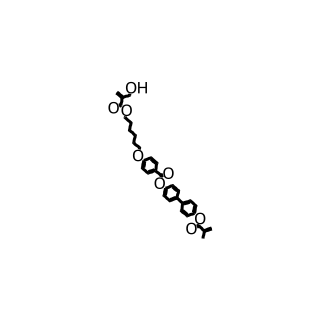 C=C(C)C(=O)Oc1ccc(-c2ccc(OC(=O)c3ccc(OCCCCCCOC(=O)C(=C)CO)cc3)cc2)cc1